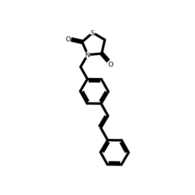 O=C1CSC(=O)N1Cc1ccc(C=Cc2ccccc2)cc1